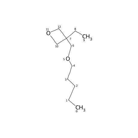 CCCCCOCC1(CC)COC1